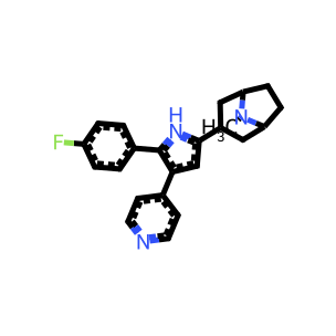 CN1C2CCC1CC(c1cc(-c3ccncc3)c(-c3ccc(F)cc3)[nH]1)C2